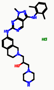 Cc1cccc(C)c1Nc1nn(C)c2nc(Nc3ccc4c(c3)CN(CC(O)CN3CCNCC3)CC4)ncc12.Cl